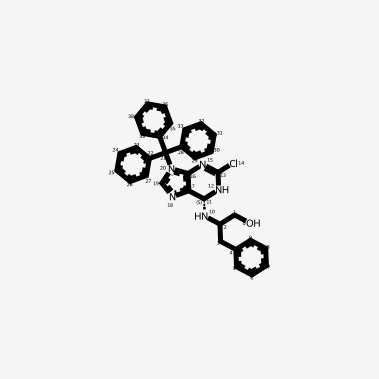 OCC(Cc1ccccc1)N[C@H]1NC(Cl)=Nc2c1ncn2C(c1ccccc1)(c1ccccc1)c1ccccc1